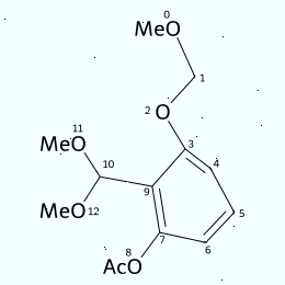 COCOc1cccc(OC(C)=O)c1C(OC)OC